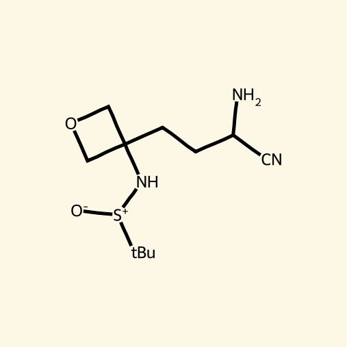 CC(C)(C)[S+]([O-])NC1(CCC(N)C#N)COC1